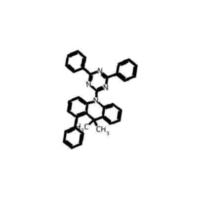 CC1(C)c2ccccc2N(c2nc(-c3ccccc3)nc(-c3ccccc3)n2)c2cccc(-c3ccccc3)c21